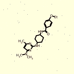 CCOc1ccc(C(=O)NC2CCC(Nc3nc(C)cc(N(C)C)n3)CC2)cc1